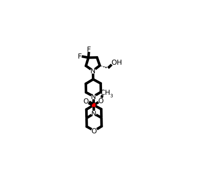 COC(=O)N1C2COCC1CC(N1CCC(N3CC(F)(F)C[C@@H]3CO)CC1)C2